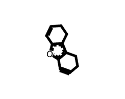 C1#Cc2oc3c(c2CC1)CCC=C3